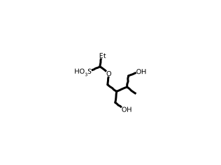 CCC(OCC(CO)C(C)CO)S(=O)(=O)O